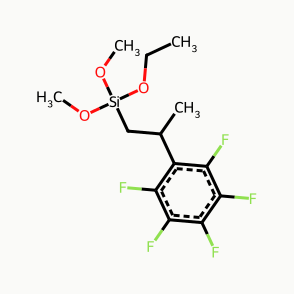 CCO[Si](CC(C)c1c(F)c(F)c(F)c(F)c1F)(OC)OC